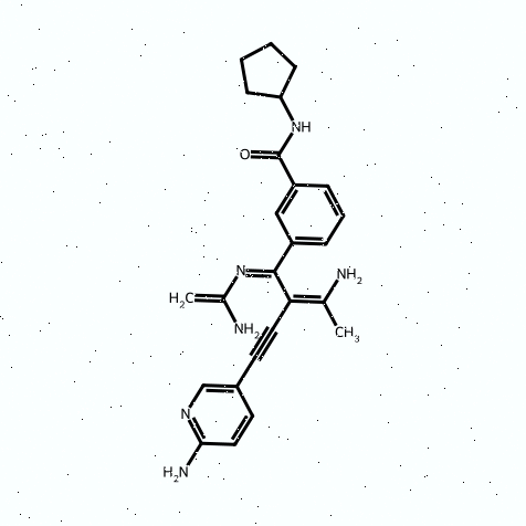 C=C(N)/N=C(\C(C#Cc1ccc(N)nc1)=C(\C)N)c1cccc(C(=O)NC2CCCC2)c1